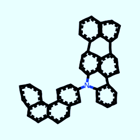 c1ccc(-c2ccc(-c3ccccc3N(c3ccc(-c4ccccc4)cc3)c3ccc4c(ccc5ccc6ccccc6c54)c3)cc2)cc1